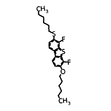 CCCCCCOc1ccc2c(sc3c(F)c(SCCCCCC)ccc32)c1F